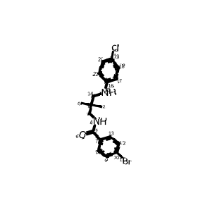 CC(C)(CNC(=O)c1ccc(Br)cc1)CNc1ccc(Cl)cc1